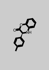 Cc1ccc([C@@H]2Nc3ccccc3OC2=O)cc1